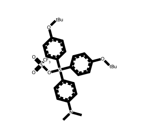 CN(C)c1ccc(S(OS(=O)(=O)C(F)(F)F)(c2ccc(OC(C)(C)C)cc2)c2ccc(OC(C)(C)C)cc2)cc1